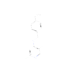 COc1ccc(CNc2cc(Cl)ncc2C(=O)O)cc1